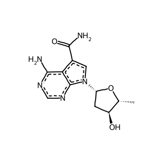 C[C@H]1O[C@@H](n2cc(C(N)=O)c3c(N)ncnc32)C[C@@H]1O